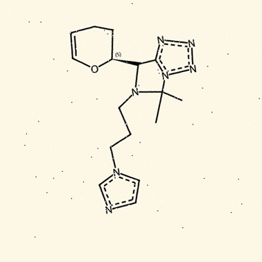 CC1(C)N(CCCn2ccnc2)C([C@@H]2CCC=CO2)c2nnnn21